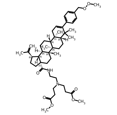 C=C(C)[C@@H]1CC[C@]2(C(=O)NCCN(CCC(=O)OC)CCC(=O)OC)CC[C@]3(C)[C@H](CC[C@@H]4[C@@]5(C)CC=C(c6ccc(COOC)cc6)C(C)(C)[C@@H]5CC[C@]43C)[C@@H]12